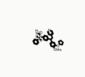 COc1ccc(C(Cc2ccncc2)c2ccc(N(C(N)=O)S(=O)(=O)c3ccccc3)cc2)cc1OC1CCCC1